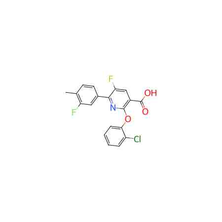 Cc1ccc(-c2nc(Oc3ccccc3Cl)c(C(=O)O)cc2F)cc1F